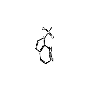 CS(=O)(=O)n1cnc2ccnnc21